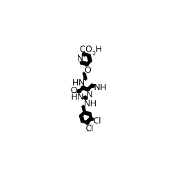 N=Cc1nc(NCc2ccc(Cl)c(Cl)c2)[nH]c(=O)c1NCCOc1ccc(C(=O)O)nc1